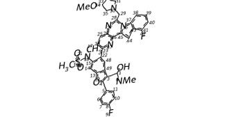 CNC(O)c1c(-c2ccc(F)cc2)oc2cc(N(C)S(C)(=O)=O)c(-c3ccc4nc(CN5CC[C@@H](OC)C5)n5c6cccc(F)c6cc5c4n3)cc12